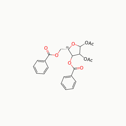 CC(=O)OC1O[C@@H](COC(=O)c2ccccc2)C(OC(=O)c2ccccc2)C1OC(C)=O